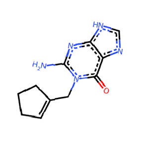 Nc1nc2[nH]cnc2c(=O)n1CC1=CCCC1